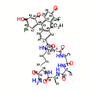 CCCC(=O)N[C@@H](C)C(=O)N[C@@H](C)C(=O)N[C@@H](C)C(=O)N[C@@H](CCCCNC(=O)c1ccc(-c2c3cc(F)c(=O)cc-3oc3cc(O)c(F)cc23)c(C(=O)O)c1)C(N)=O